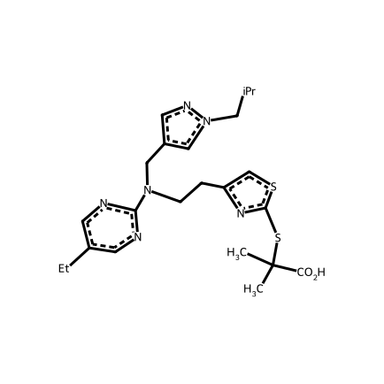 CCc1cnc(N(CCc2csc(SC(C)(C)C(=O)O)n2)Cc2cnn(CC(C)C)c2)nc1